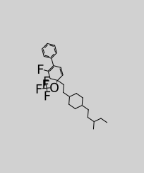 CCC(C)CCC1CCC(CCC2(OC(F)(F)F)C=CC(c3ccccc3)=C(F)C2F)CC1